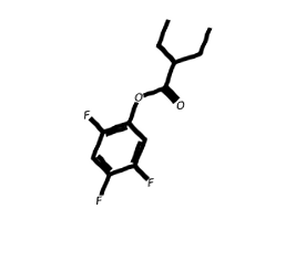 CCC(CC)C(=O)Oc1cc(F)c(F)cc1F